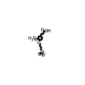 COc1cc(C=CC(=O)O)ccc1OCCCCO[N+](=O)[O-]